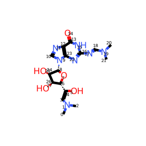 CN(C)/C=C(\O)[C@H]1O[C@@H](n2cnc3c(=O)[nH]c(/N=C/N(C)C)nc32)[C@H](O)[C@@H]1O